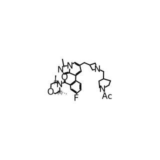 CC(=O)N1CCC(CN2CC(Cc3cc(-c4ccc(F)cc4C(=O)N4[C@H](C)COC[C@H]4C)c4cnc(C)n4c3)C2)CC1